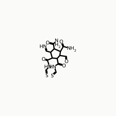 N=CC1C(C(N)=O)C(C(N)=O)C(C=O)C(C(=O)NC=S)C1C(=O)NC=S